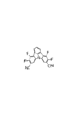 N#Cc1cc2c(c(F)c1F)c1cccc3c4c(F)c(F)c(C#N)cc4n2c13